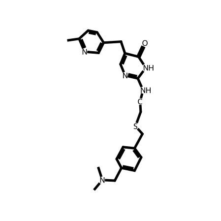 Cc1ccc(Cc2cnc(NCCSCc3ccc(CN(C)C)cc3)[nH]c2=O)cn1